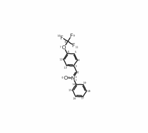 [O-][N+](=Cc1ccc(OC(F)(F)F)cc1)c1ccccc1